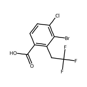 O=C(O)c1ccc(Cl)c(Br)c1CC(F)(F)F